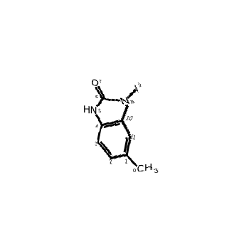 Cc1ccc2[nH]c(=O)n(I)c2c1